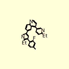 CCc1ccc(-c2ccnc3ccc(-c4cnc(CC)c(-c5ccc(C)cc5F)c4)cc23)cn1